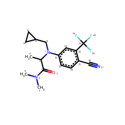 CC(C(=O)N(C)C)N(CC1CC1)c1ccc(C#N)c(C(F)(F)F)c1